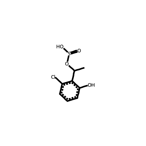 CC(OS(=O)O)c1c(O)cccc1Cl